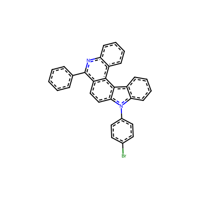 Brc1ccc(-n2c3ccccc3c3c4c(ccc32)c(-c2ccccc2)nc2ccccc24)cc1